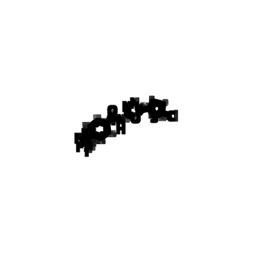 O=C(Nc1nnc(-c2ccc(Cl)s2)o1)c1ccc(S(F)(F)(F)(F)F)cc1